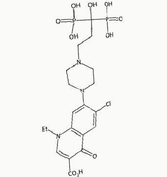 CCn1cc(C(=O)O)c(=O)c2cc(Cl)c(N3CCN(CCC(O)(P(=O)(O)O)P(=O)(O)O)CC3)cc21